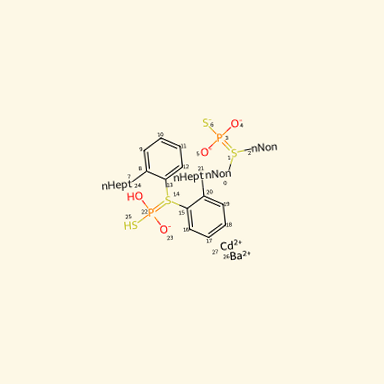 CCCCCCCCCS(CCCCCCCCC)=P([O-])([O-])[S-].CCCCCCCc1ccccc1S(c1ccccc1CCCCCCC)=P([O-])(O)S.[Ba+2].[Cd+2]